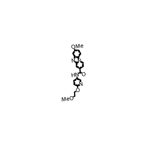 COCCOc1ccc(NC(=O)c2ccn3c(c2)nc2cc(OC)ccc23)cn1